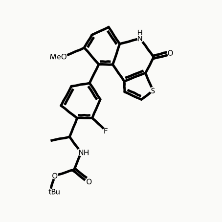 COc1ccc2[nH]c(=O)c3sccc3c2c1-c1ccc(C(C)NC(=O)OC(C)(C)C)c(F)c1